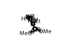 CCOc1cc(-c2cc(OCOC)cc(OCOC)c2)ccc1-c1nc2[nH]nnc2c(=O)[nH]1